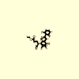 CCOC(=O)/C=C/C(C#N)[C@@]12CC[C@@H](c3cc(-c4c(F)cccc4F)nnc31)C(C)C2C